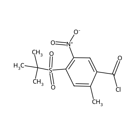 Cc1cc(S(=O)(=O)C(C)(C)C)c([N+](=O)[O-])cc1C(=O)Cl